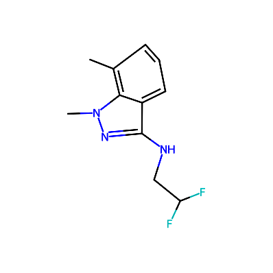 Cc1cccc2c(NCC(F)F)nn(C)c12